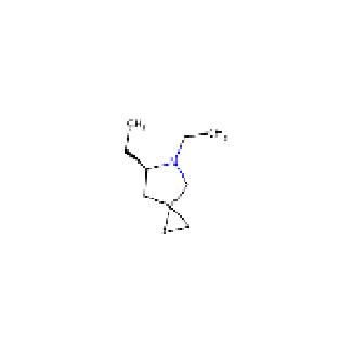 CC[C@@H]1CC2(CC2)CN1CC